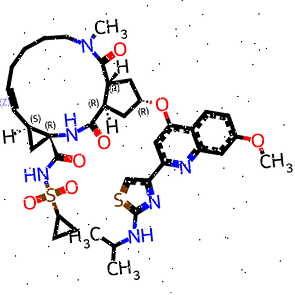 COc1ccc2c(O[C@@H]3C[C@H]4C(=O)N[C@]5(C(=O)NS(=O)(=O)C6CC6)C[C@H]5/C=C\CCCCN(C)C(=O)[C@@H]4C3)cc(-c3csc(NC(C)C)n3)nc2c1